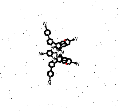 N#Cc1ccc(-c2ccc3c(c2)c2cc(-c4ccc(C#N)cc4)ccc2n3-c2cc(C#N)cc(-n3c4ccc(-c5ccc(C#N)cc5)cc4c4cc(-c5ccc(C#N)cc5)ccc43)c2-c2nc(-c3ccccc3)nc(-c3ccccc3)n2)cc1